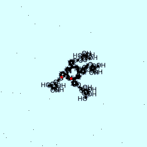 OC[C@H]1O[C@@H](OCCOc2cccc(-c3c4nc(c(-c5cccc(OCCO[C@@H]6O[C@H](CO)[C@@H](O)[C@H](O)[C@H]6O)c5)c5ccc([nH]5)c(-c5cccc(OCCO[C@@H]6O[C@H](CO)[C@@H](O)[C@H](O)[C@H]6O)c5)c5nc(c(-c6cccc(OCCO[C@@H]7O[C@H](CO)[C@@H](O)[C@H](O)[C@H]7O)c6)c6ccc3[nH]6)C=C5)C=C4)c2)[C@H](O)[C@@H](O)[C@@H]1O